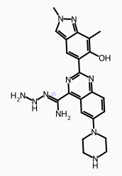 Cc1c(O)c(-c2nc(/C(N)=N/NN)c3cc(N4CCNCC4)ccc3n2)cc2cn(C)nc12